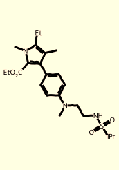 CCOC(=O)c1c(-c2ccc(N(C)CCNS(=O)(=O)C(C)C)cc2)c(C)c(CC)n1C